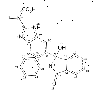 CN(C(=O)O)c1nc2ccc(C3(O)c4ccccc4C(=O)N3c3ccccc3)cc2[nH]1